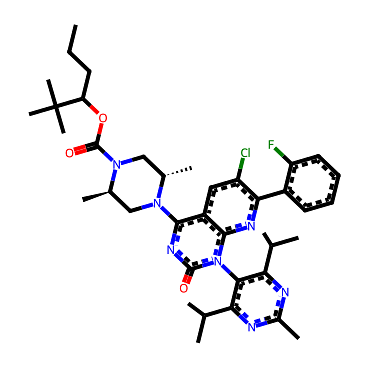 CCCC(OC(=O)N1C[C@H](C)N(c2nc(=O)n(-c3c(C(C)C)nc(C)nc3C(C)C)c3nc(-c4ccccc4F)c(Cl)cc23)C[C@H]1C)C(C)(C)C